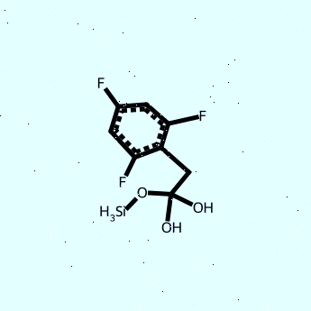 OC(O)(Cc1c(F)cc(F)cc1F)O[SiH3]